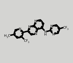 Cc1cnc(-c2cnc3c(Nc4ncc(C(F)(F)F)cn4)ccnc3n2)c(C(F)(F)F)c1